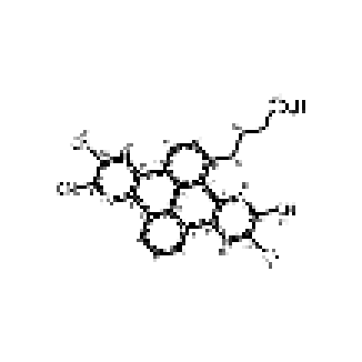 [C-]#[N+]c1nc2c3cccc4c5nc(C#N)c(C#N)nc5c5c(CCCC(=O)O)ccc(c2nc1[N+]#[C-])c5c34